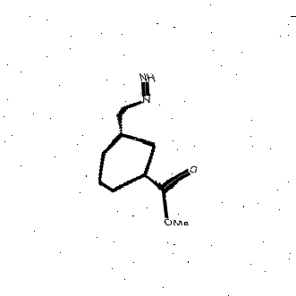 COC(=O)[C@H]1CCC[C@@H](CN=N)C1